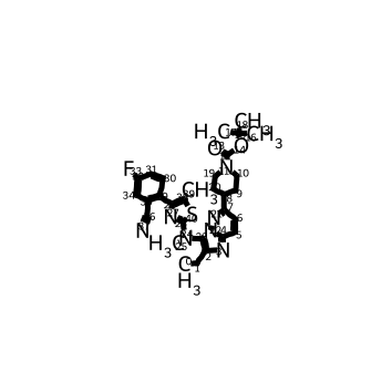 CCc1nc2ccc(C3CCN(C(=O)OC(C)(C)C)CC3)nn2c1N(C)c1nc(-c2ccc(F)cc2C#N)c(C)s1